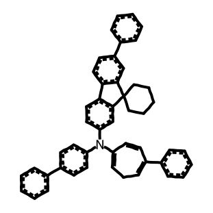 C1=CC(N(c2ccc(-c3ccccc3)cc2)c2ccc3c(c2)C2(CCCCC2)c2cc(-c4ccccc4)ccc2-3)=CCC=C1c1ccccc1